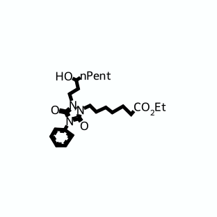 CCCCCC(O)CCn1c(=O)n(-c2ccccc2)c(=O)n1CCCCCCC(=O)OCC